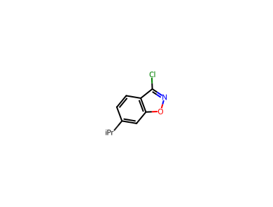 CC(C)c1ccc2c(Cl)noc2c1